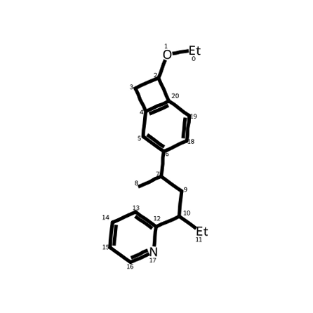 CCOC1Cc2cc(C(C)CC(CC)c3ccccn3)ccc21